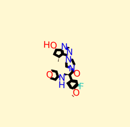 COc1ccc([C@@H](CNC2CCOCC2)C(=O)N2CCN(c3ncnc4c3[C@H](C)C[C@@H]4O)CC2)cc1F